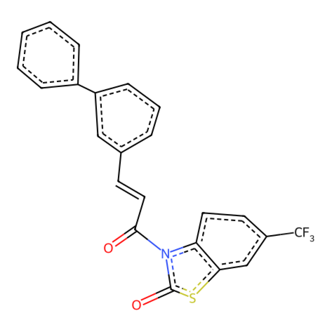 O=C(C=Cc1cccc(-c2ccccc2)c1)n1c(=O)sc2cc(C(F)(F)F)ccc21